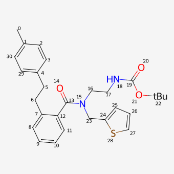 Cc1ccc(CCc2ccccc2C(=O)N(CCNC(=O)OC(C)(C)C)Cc2cccs2)cc1